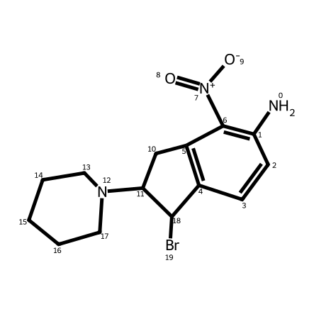 Nc1ccc2c(c1[N+](=O)[O-])CC(N1CCCCC1)C2Br